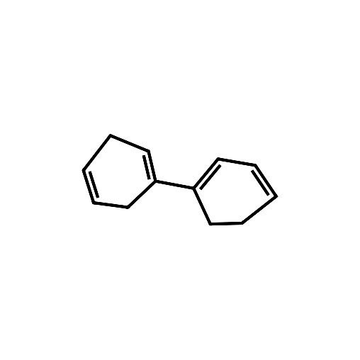 C1=CCCC(C2=CCC=CC2)=C1